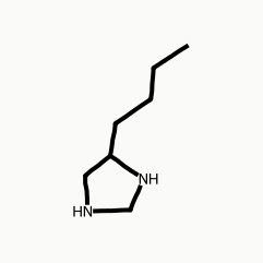 CCCCC1CNCN1